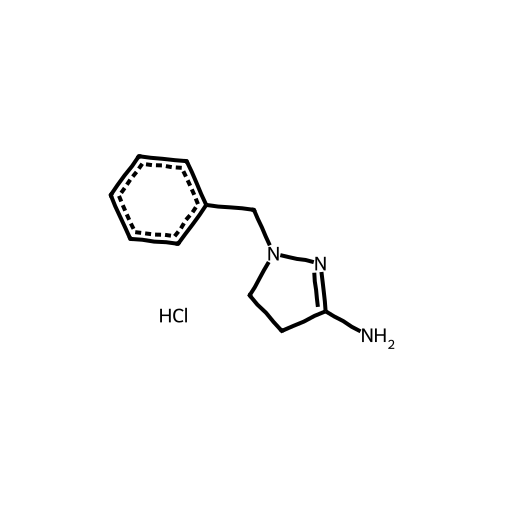 Cl.NC1=NN(Cc2ccccc2)CC1